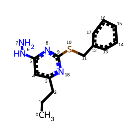 CCCc1cc(NN)nc(SCc2ccccc2)n1